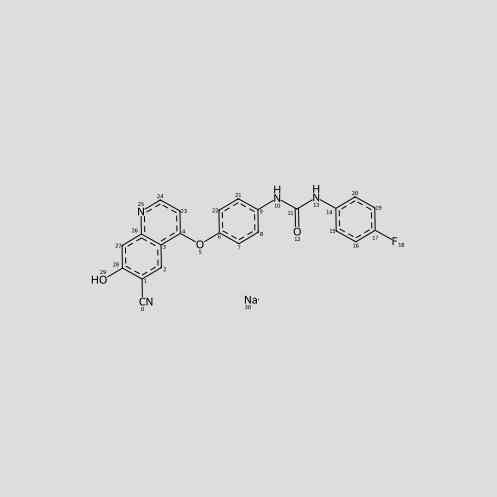 N#Cc1cc2c(Oc3ccc(NC(=O)Nc4ccc(F)cc4)cc3)ccnc2cc1O.[Na]